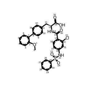 COc1ccccc1-c1ccc(C[C@H](NC(=O)c2ccc(NS(=O)(=O)c3ccccc3)cc2Cl)C(=O)O)cc1